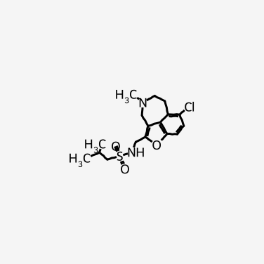 CC(C)CS(=O)(=O)NCc1oc2ccc(Cl)c3c2c1CN(C)CC3